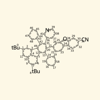 CC(C)(C)c1cc2c3c(cc(C(C)(C)C)cc3c1)-c1c(-c3ccccc3)c(-c3ccc4c(c3)oc3cc(C#N)ccc34)c(-c3cccnc3)c(-c3ccccc3)c1-2